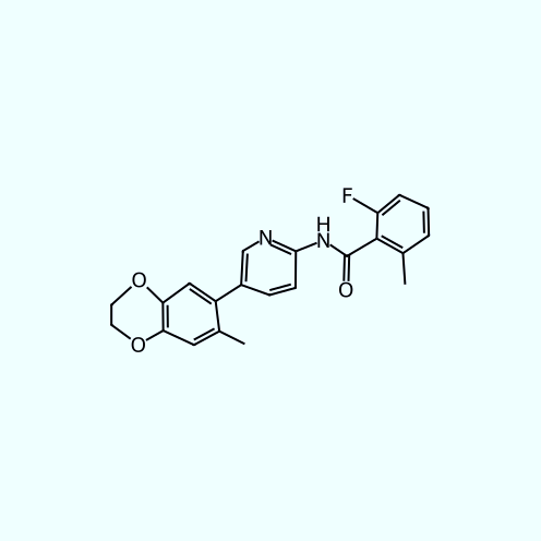 Cc1cc2c(cc1-c1ccc(NC(=O)c3c(C)cccc3F)nc1)OCCO2